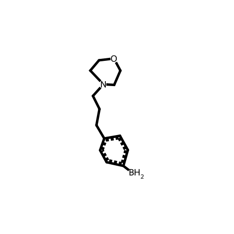 Bc1ccc(CCCN2CCOCC2)cc1